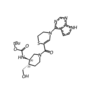 CC(C)(C)OC(=O)N[C@H]1CN(C(=O)C2=CN(c3ncnc4[nH]ccc34)CCS2)CC[C@@H]1CO